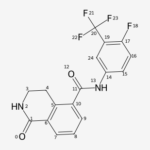 O=C1NCCc2c1cccc2C(=O)Nc1ccc(F)c(C(F)(F)F)c1